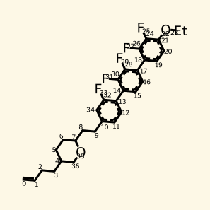 C=CCCC1CCC(CCc2ccc(-c3ccc(-c4ccc(OCC)c(F)c4F)c(F)c3F)c(F)c2)OC1